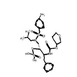 CC(C)CN(C[C@@H](OP(=O)(O)O)C(Cc1ccccc1)NC(=O)OC1CCOC1)S(=O)(=O)c1ccc(N)cc1